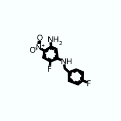 Nc1cc(NCc2ccc(F)cc2)c(F)cc1[N+](=O)[O-]